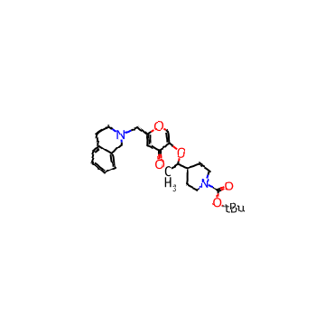 CC(Oc1coc(CN2CCc3ccccc3C2)cc1=O)C1CCN(C(=O)OC(C)(C)C)CC1